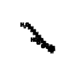 CCCCCCCCCCC(CCCC(=O)OCc1ccccc1)C(=O)O